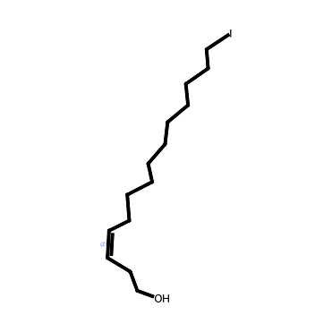 OCC/C=C\CCCCCCCCCCI